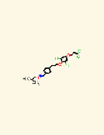 CC(C)CON=Cc1ccc(CCCOc2c(Cl)cc(OCC=C(Cl)Cl)cc2Cl)cc1